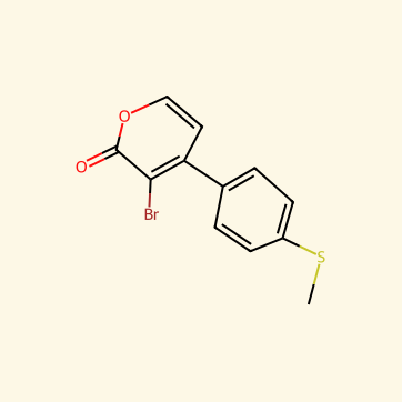 CSc1ccc(-c2ccoc(=O)c2Br)cc1